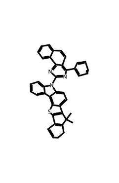 CC1(C)C2=C(C=CCC2)c2sc3c(ccc4c3c3ccccc3n4-c3nc(-c4ccccc4)c4ccc5ccccc5c4n3)c21